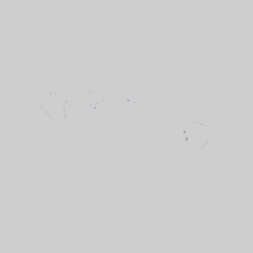 Cc1cc(C)cc(-c2csc(N3CCC(S(=O)(=O)c4c(F)c(F)c(F)c(F)c4F)CC3)n2)c1